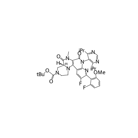 COc1cccc(F)c1-c1nc2c(cc1F)c1c(c(=O)n2-c2c(C(C)C)ncnc2C(C)C)N(C)C(=O)[C@H]2CN(C(=O)OC(C)(C)C)CCN12